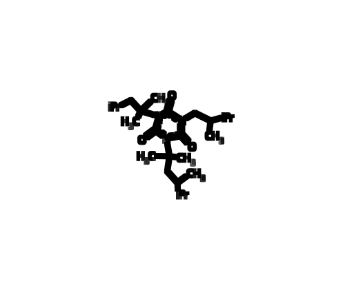 CC(C)CC(C)(C)n1c(=O)n(CC(C)C(C)C)c(=O)n(C(C)(C)CC(C)C(C)C)c1=O